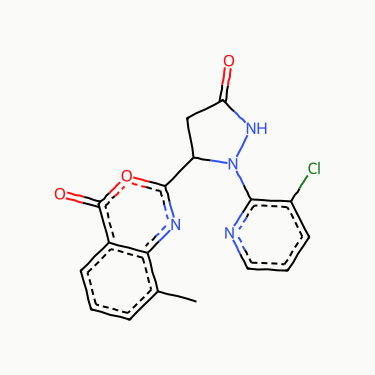 Cc1cccc2c(=O)oc(C3CC(=O)NN3c3ncccc3Cl)nc12